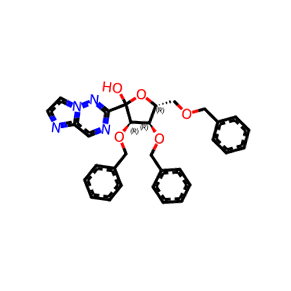 OC1(c2ncc3nccn3n2)O[C@H](COCc2ccccc2)[C@@H](OCc2ccccc2)[C@H]1OCc1ccccc1